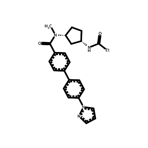 CCC(=O)N[C@H]1CC[C@@H](N(C)C(=O)c2ccc(-c3ccc(-n4cccn4)cc3)cc2)C1